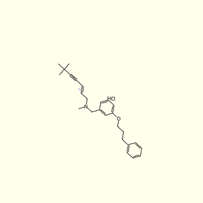 CN(C/C=C/C#CC(C)(C)C)Cc1cccc(OCCCc2ccccc2)c1.Cl